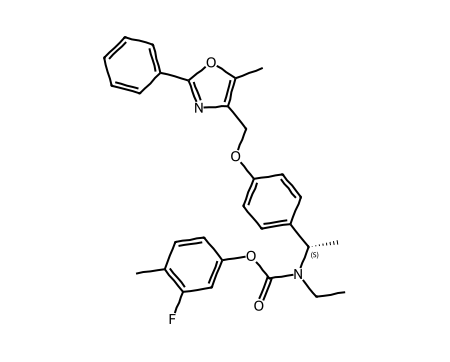 CCN(C(=O)Oc1ccc(C)c(F)c1)[C@@H](C)c1ccc(OCc2nc(-c3ccccc3)oc2C)cc1